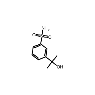 CC(C)(O)c1cccc(S(N)(=O)=O)c1